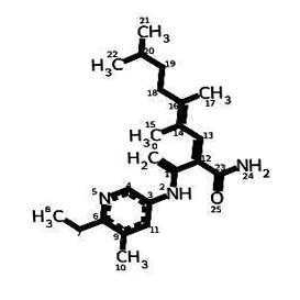 C=C(Nc1cnc(CC)c(C)c1)/C(=C\C(C)=C(/C)CCC(C)C)C(N)=O